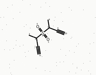 C#CC(C)S(=O)(=O)C(C)C#C